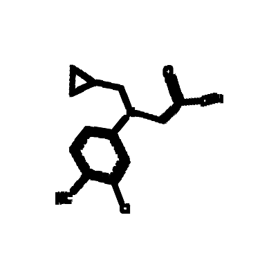 CC(C)COC(=O)CN(CC1CC1)c1ccc(C#N)c(Cl)c1